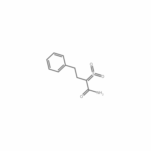 NC(=O)C(CCc1ccccc1)=S(=O)=O